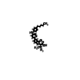 CCCCCc1ccc(Nc2ccc(-c3ccc4c(c3)C(=O)N([C@H](C(=O)O)C(C)C)C4)nn2)cc1